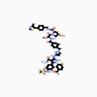 Cc1ncsc1-c1ccc(CNC(=O)[C@@H]2C[C@@H](O)CN2C(=O)[C@@H](NC(=O)c2ccc(Cn3ccc(Nc4[nH]nc(-c5ccc(NS(=O)(=O)C(F)F)c(O[C@@H](C)c6ccc(F)cc6)c5)c4C(N)=O)n3)cc2)C(C)(C)C)cc1